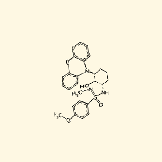 CN=S(=O)(N[C@H]1CCC[C@H](N2c3ccccc3Oc3ccccc32)[C@@H]1O)c1ccc(OC(F)(F)F)cc1